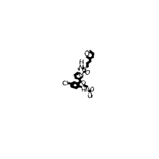 CNN(CCCC1CCCOC1)C(=O)N1CCCC([C@@H](OCCNC(=O)OC)c2cc(Cl)ccc2C)C1